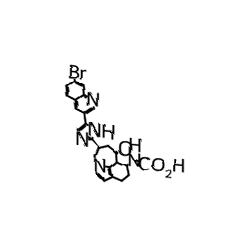 O=C(O)N[C@H]1CCc2ccn3c2C1C(=O)C[C@H](c1ncc(-c2cnc4cc(Br)ccc4c2)[nH]1)C3